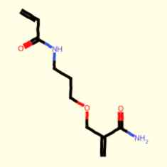 C=CC(=O)NCCCOCC(=C)C(N)=O